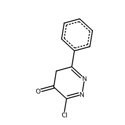 O=C1CC(c2ccccc2)=NN=C1Cl